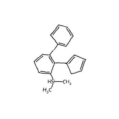 C[SiH](C)c1cccc(-c2ccccc2)c1C1=CC=CC1